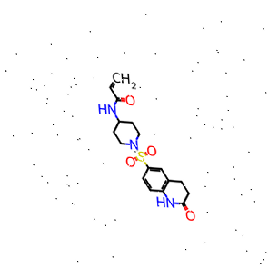 C=CC(=O)NC1CCN(S(=O)(=O)c2ccc3c(c2)CCC(=O)N3)CC1